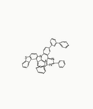 c1ccc(-c2cccc(-c3ccc(-n4c5ccccc5c5c6c(ccc54)sc4ccccc46)c(-c4nc(-c5ccccc5)nc(-c5ccccc5)n4)c3)c2)cc1